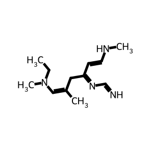 CCN(C)/C=C(/C)CC(/C=C/NC)=N/C=N